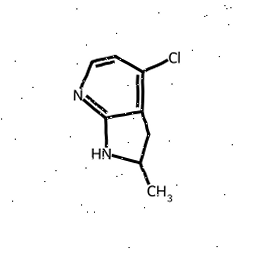 CC1Cc2c(Cl)ccnc2N1